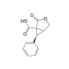 O=C(O)C12C(=O)OCC1[C@H]2c1ccccc1